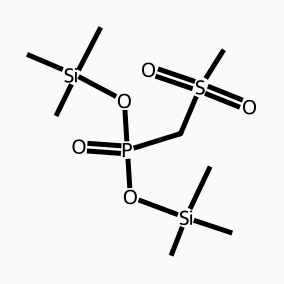 C[Si](C)(C)OP(=O)(CS(C)(=O)=O)O[Si](C)(C)C